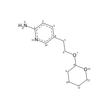 Nc1ccc(CCOC2CCCCO2)cn1